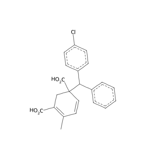 CC1=C(C(=O)O)CC(C(=O)O)(C(c2ccccc2)c2ccc(Cl)cc2)C=C1